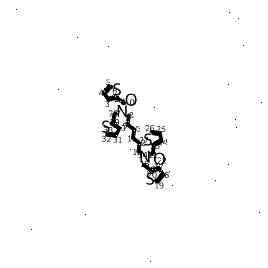 O=C(c1cccs1)N(CCCCCCN(Cc1cccs1)C(=O)c1cccs1)Cc1cccs1